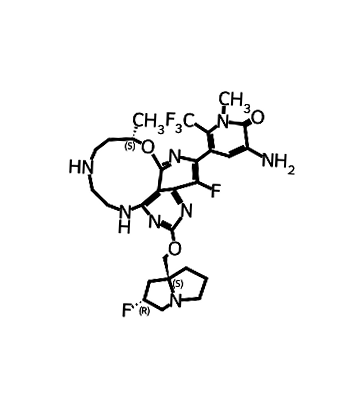 C[C@H]1CCNCCNc2nc(OC[C@@]34CCCN3C[C@H](F)C4)nc3c(F)c(-c4cc(N)c(=O)n(C)c4C(F)(F)F)nc(c23)O1